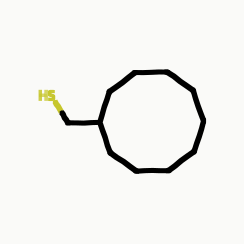 SCC1CCCCCCCCC1